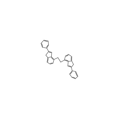 C1=C(c2ccccc2)Cc2cccc(CCc3cccc4c3C=C(c3ccccc3)C4)c21